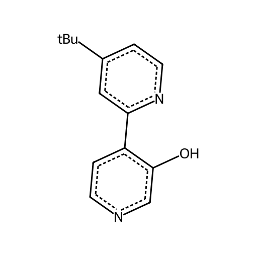 CC(C)(C)c1ccnc(-c2ccncc2O)c1